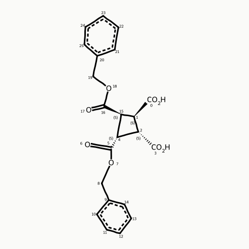 O=C(O)[C@H]1[C@H](C(=O)O)[C@H](C(=O)OCc2ccccc2)[C@H]1C(=O)OCc1ccccc1